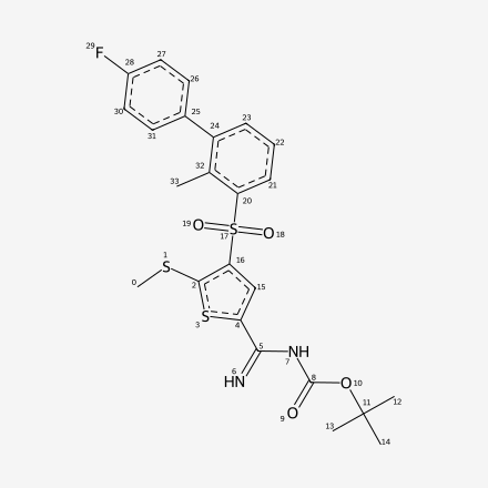 CSc1sc(C(=N)NC(=O)OC(C)(C)C)cc1S(=O)(=O)c1cccc(-c2ccc(F)cc2)c1C